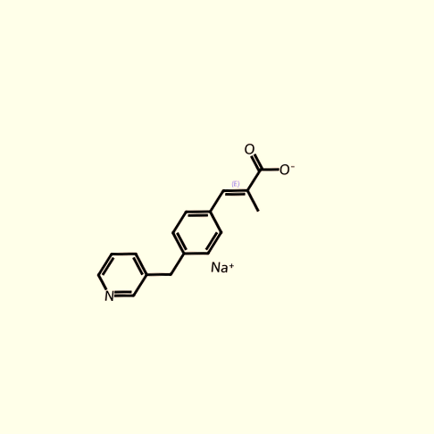 C/C(=C\c1ccc(Cc2cccnc2)cc1)C(=O)[O-].[Na+]